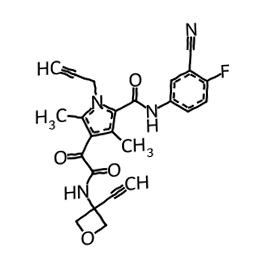 C#CCn1c(C)c(C(=O)C(=O)NC2(C#C)COC2)c(C)c1C(=O)Nc1ccc(F)c(C#N)c1